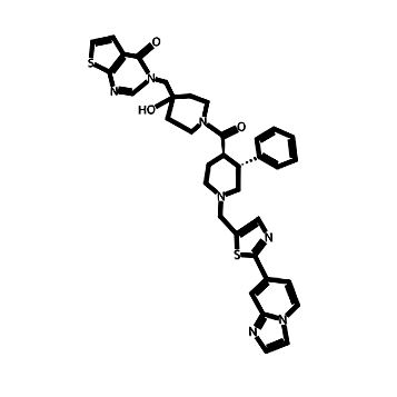 O=C([C@@H]1CCN(Cc2cnc(-c3ccn4ccnc4c3)s2)C[C@H]1c1ccccc1)N1CCC(O)(Cn2cnc3sccc3c2=O)CC1